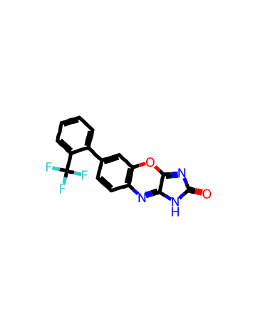 O=c1nc2oc3cc(-c4ccccc4C(F)(F)F)ccc3nc-2[nH]1